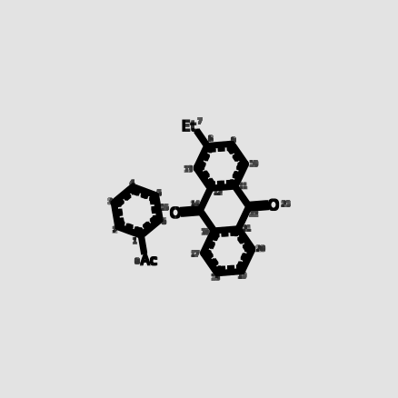 CC(=O)c1ccccc1.CCc1ccc2c(c1)C(=O)c1ccccc1C2=O